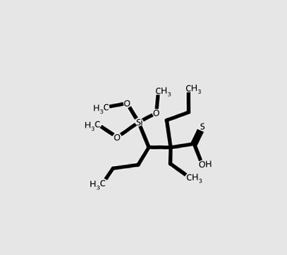 CCCC(C(CC)(CCC)C(O)=S)[Si](OC)(OC)OC